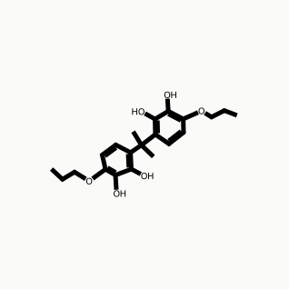 CCCOc1ccc(C(C)(C)c2ccc(OCCC)c(O)c2O)c(O)c1O